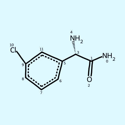 NC(=O)[C@@H](N)c1cccc(Cl)c1